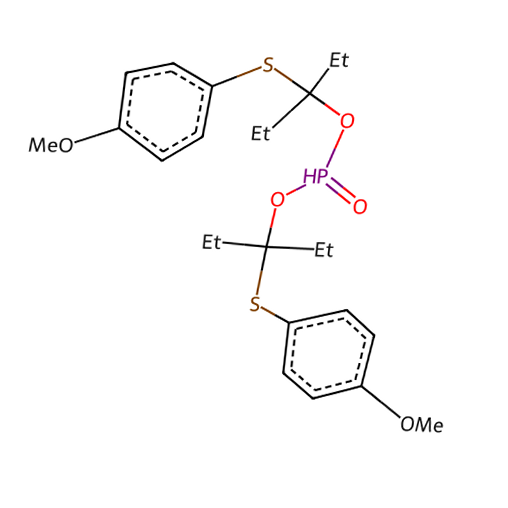 CCC(CC)(O[PH](=O)OC(CC)(CC)Sc1ccc(OC)cc1)Sc1ccc(OC)cc1